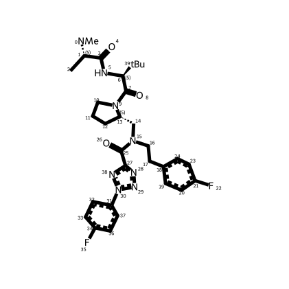 CN[C@@H](C)C(=O)N[C@H](C(=O)N1CCC[C@H]1CN(CCc1ccc(F)cc1)C(=O)c1nnn(-c2ccc(F)cc2)n1)C(C)(C)C